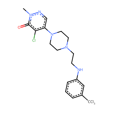 Cn1ncc(N2CCN(CCNc3cccc(C(Cl)(Cl)Cl)c3)CC2)c(Cl)c1=O